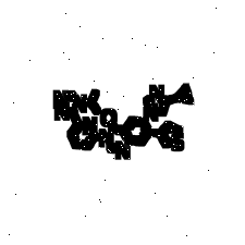 CC(C)n1cnnc1-c1cccc(-n2cnc3cc(-c4ccsc4)c(-n4cnc(C5CC5)c4)cc3c2=O)n1